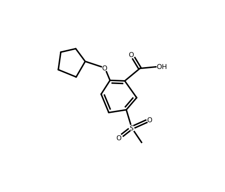 CS(=O)(=O)c1ccc(OC2CCCC2)c(C(=O)O)c1